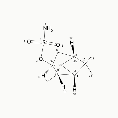 C[C@@H]1[C@@H](OS(N)(=O)=O)C[C@H]2C[C@@H]1C2(C)C